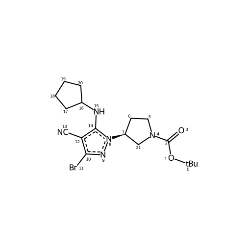 CC(C)(C)OC(=O)N1CC[C@H](n2nc(Br)c(C#N)c2NC2CCCC2)C1